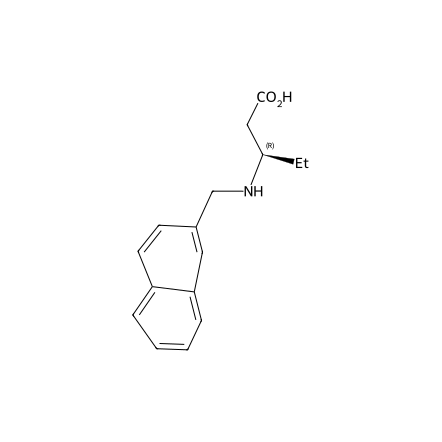 CC[C@H](CC(=O)O)NCc1ccc2ccccc2c1